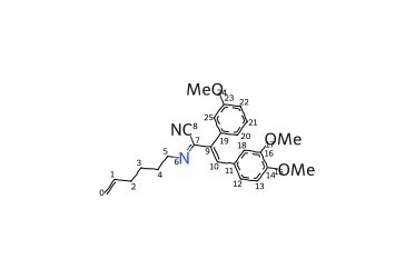 C=CCCCCN=C(C#N)C(=Cc1ccc(OC)c(OC)c1)c1cccc(OC)c1